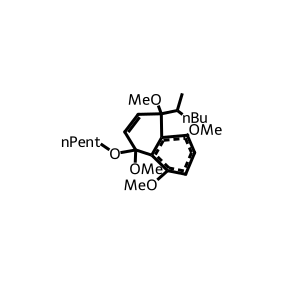 CCCCCOC1(OC)C=CC(OC)(C(C)CCCC)c2c(OC)ccc(OC)c21